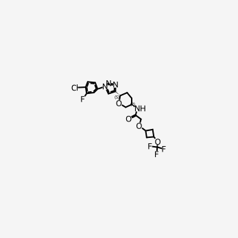 O=C(COC1CC(OC(F)(F)F)C1)N[C@@H]1CC[C@@H](c2cn(-c3ccc(Cl)c(F)c3)nn2)OC1